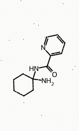 NC1(NC(=O)c2ccccn2)CCCCC1